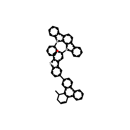 CC1CC=Cc2c1c1cc(-c3ccc4sc5cnc(-n6c7ccccc7c7ccc8c9ccccc9n(-c9ccccc9)c8c76)cc5c4c3)ccc1c1ccccc21